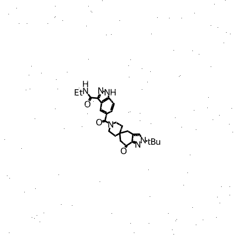 CCNC(=O)c1n[nH]c2ccc(C(=O)N3CCC4(CC3)CC(=O)c3nn(C(C)(C)C)cc3C4)cc12